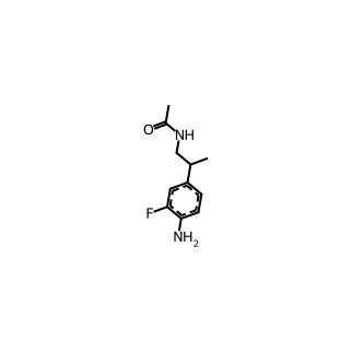 CC(=O)NCC(C)c1ccc(N)c(F)c1